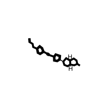 C=CCCc1ccc(C#Cc2ccc([C@@H]3CC[C@@H]4CC(C)CC[C@@H]4C3)cc2)cc1